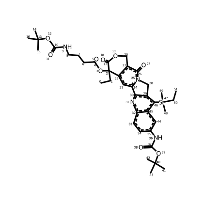 CCC1(OC(=O)CCCNC(=O)OC(C)(C)C)C(=O)OCc2c1cc1n(c2=O)Cc2c-1nc1ccc(NC(=O)OC(C)(C)C)cc1c2[Si](C)(C)CC